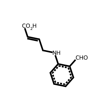 O=Cc1ccccc1NC/C=C/C(=O)O